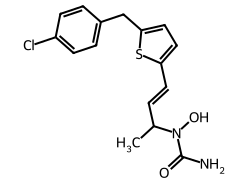 CC(C=Cc1ccc(Cc2ccc(Cl)cc2)s1)N(O)C(N)=O